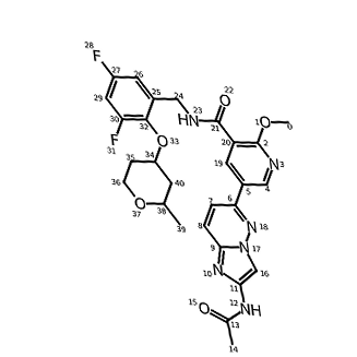 COc1ncc(-c2ccc3nc(NC(C)=O)cn3n2)cc1C(=O)NCc1cc(F)cc(F)c1OC1CCOC(C)C1